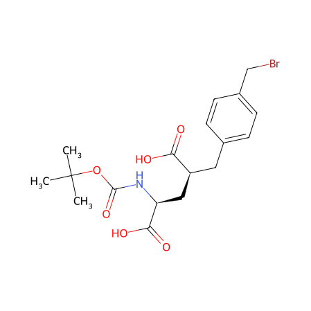 CC(C)(C)OC(=O)N[C@@H](C[C@H](Cc1ccc(CBr)cc1)C(=O)O)C(=O)O